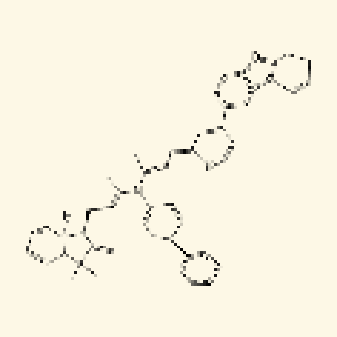 C=C\C(=C/C(=C/C=C(\C)N(C1=CC[C@H](c2ccccc2)C=C1)/C(C)=C/C[C@H]1C(=C)C(C)(C)C2C=CC=C[C@H]21)C(C)C)c1ccc2oc3c(c2c1)C=CCC3